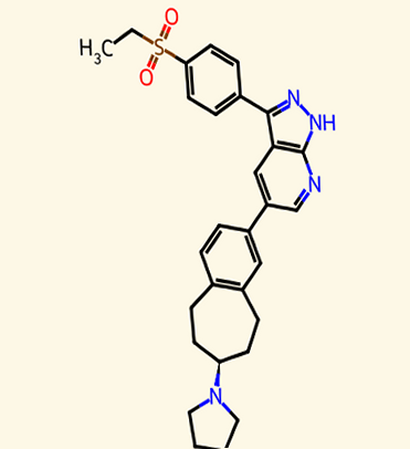 CCS(=O)(=O)c1ccc(-c2n[nH]c3ncc(-c4ccc5c(c4)CC[C@@H](N4CCCC4)CC5)cc23)cc1